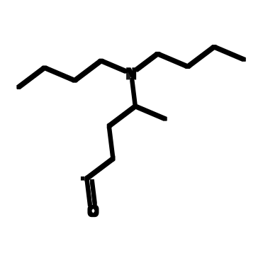 CCCCN(CCCC)C(C)CC[C]=O